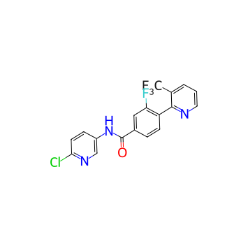 O=C(Nc1ccc(Cl)nc1)c1ccc(-c2ncccc2C(F)(F)F)c(F)c1